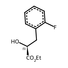 CCOC(=O)[C@@H](O)Cc1ccccc1F